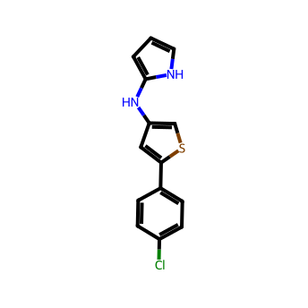 Clc1ccc(-c2cc(Nc3ccc[nH]3)cs2)cc1